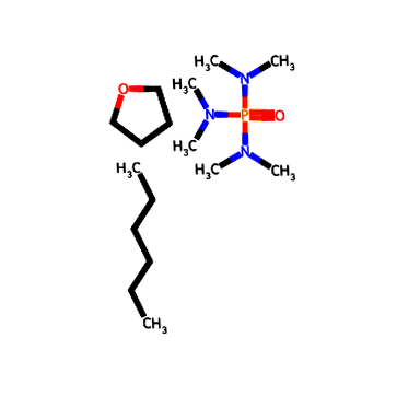 C1CCOC1.CCCCCC.CN(C)P(=O)(N(C)C)N(C)C